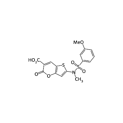 COc1cccc(S(=O)(=O)N(C)c2cc3oc(=O)c(C(=O)O)cc3s2)c1